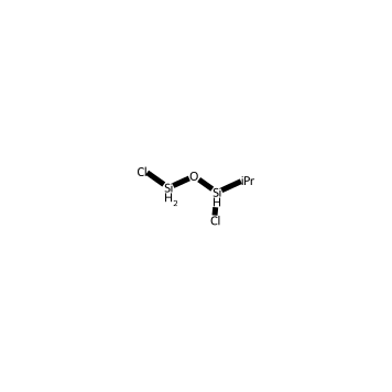 CC(C)[SiH](Cl)O[SiH2]Cl